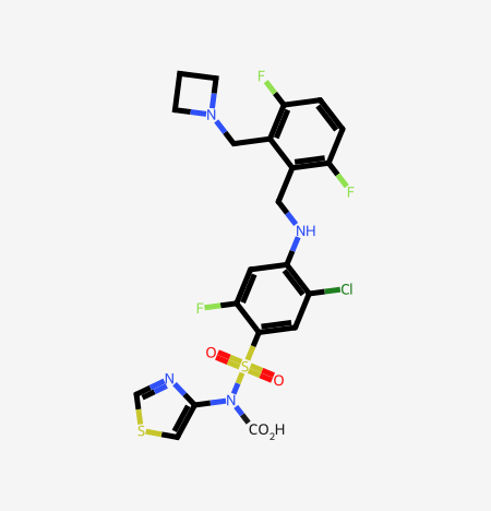 O=C(O)N(c1cscn1)S(=O)(=O)c1cc(Cl)c(NCc2c(F)ccc(F)c2CN2CCC2)cc1F